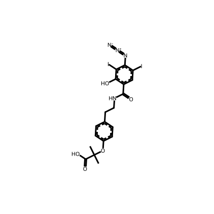 CC(C)(Oc1ccc(CCNC(=O)c2cc(I)c(N=[N+]=[N-])c(I)c2O)cc1)C(=O)O